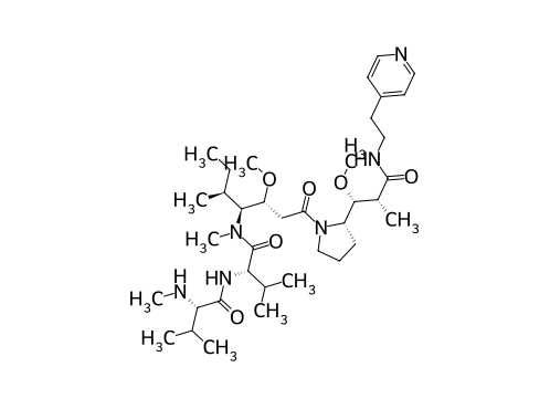 CC[C@H](C)[C@@H]([C@@H](CC(=O)N1CCC[C@H]1[C@H](OC)[C@@H](C)C(=O)NCCc1ccncc1)OC)N(C)C(=O)[C@@H](NC(=O)[C@@H](NC)C(C)C)C(C)C